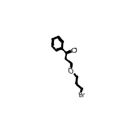 O=C(CCOCCCBr)c1ccccc1